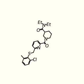 CCN(CC)C(=O)C1CCCN(C(=O)c2cccc(CSc3c(C)cccc3Cl)n2)C1